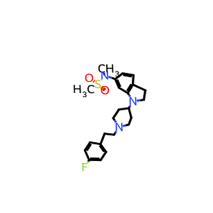 CN(c1ccc2c(c1)N(C1CCN(CCc3ccc(F)cc3)CC1)CC2)S(C)(=O)=O